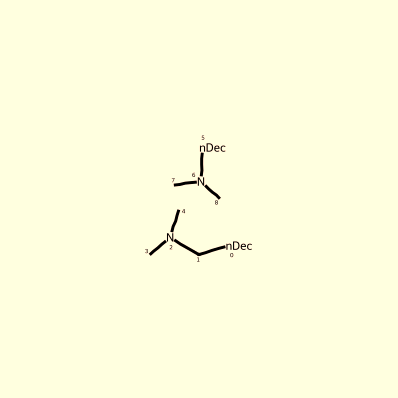 CCCCCCCCCCCN(C)C.CCCCCCCCCCN(C)C